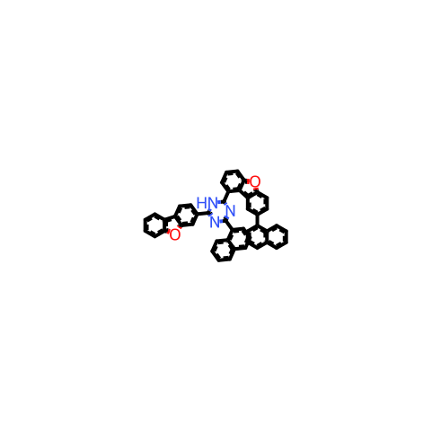 c1ccc2c(C3=NC(c4cccc5oc6ccc(-c7cccc8ccccc78)cc6c45)NC(c4ccc5c(c4)oc4ccccc45)=N3)cccc2c1